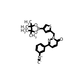 [C-]#[N+]c1cccc(-c2ccc(=O)n(Cc3cc(B4OC(C)(C)C(C)(C)O4)cs3)n2)c1